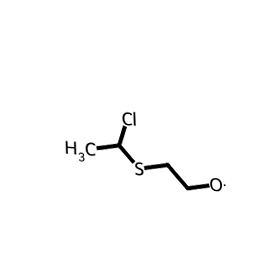 CC(Cl)SCC[O]